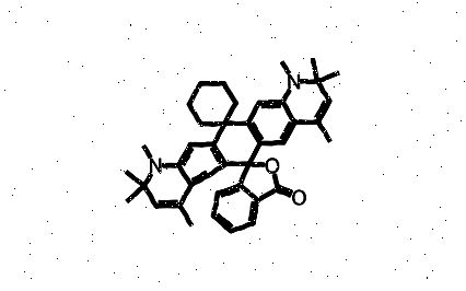 CC1=CC(C)(C)N(C)c2cc3c(cc21)C1(OC(=O)c2ccccc21)c1cc2c(cc1C31CCCCC1)N(C)C(C)(C)C=C2C